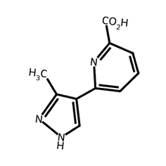 Cc1n[nH]cc1-c1cccc(C(=O)O)n1